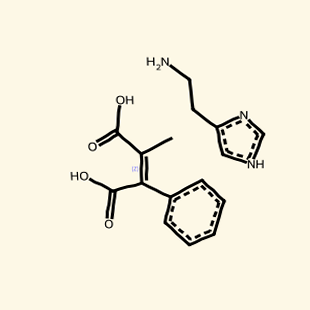 C/C(C(=O)O)=C(/C(=O)O)c1ccccc1.NCCc1c[nH]cn1